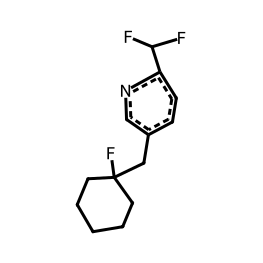 FC(F)c1ccc(CC2(F)CCCCC2)cn1